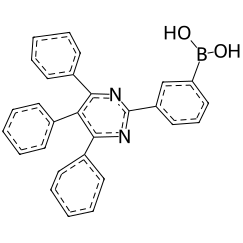 OB(O)c1cccc(-c2nc(-c3ccccc3)c(-c3ccccc3)c(-c3ccccc3)n2)c1